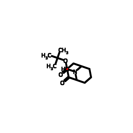 CC(C)(C)OC(=O)N1C2CCCC1C(=O)NC2